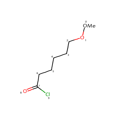 COOCCCCCC(=O)Cl